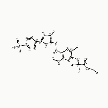 CCOC(=O)C(F)(F)Sc1cc(OC)c(OCc2sc(-c3ccc(C(F)(F)F)cc3)nc2C)cc1C